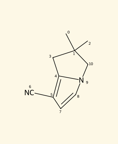 CC1(C)Cc2c(C#N)ccn2C1